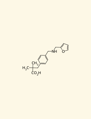 CC(C)(Cc1ccc(CNCc2ccco2)cc1)C(=O)O